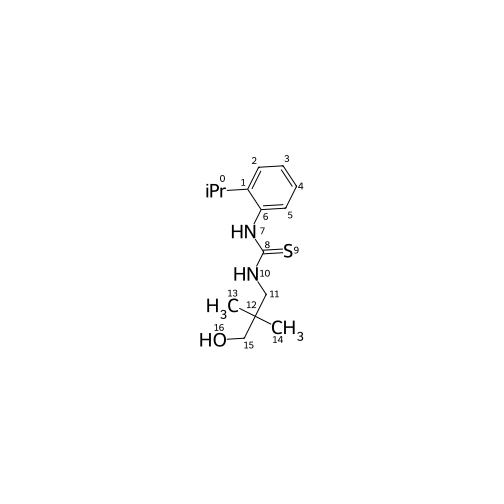 CC(C)c1ccccc1NC(=S)NCC(C)(C)CO